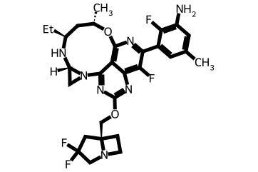 CC[C@H]1C[C@H](C)Oc2nc(-c3cc(C)cc(N)c3F)c(F)c3nc(OC[C@@]45CCN4CC(F)(F)C5)nc(c23)N2C[C@@H]2N1